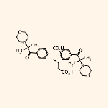 CC(C)(C(=O)c1ccc(C(CCCC(=O)O)(C(=O)O)c2ccc(C(=O)C(C)(C)N3CCOCC3)cc2)cc1)N1CCOCC1